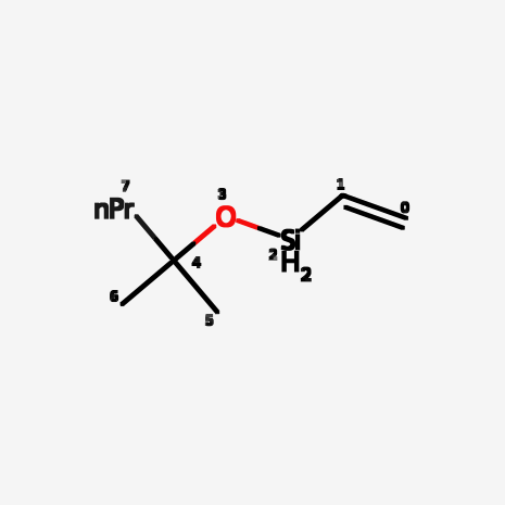 C=C[SiH2]OC(C)(C)CCC